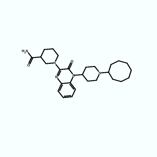 NC(=O)C1CCCN(c2nc3ccccc3n(C3CCN(C4CCCCCCC4)CC3)c2=O)C1